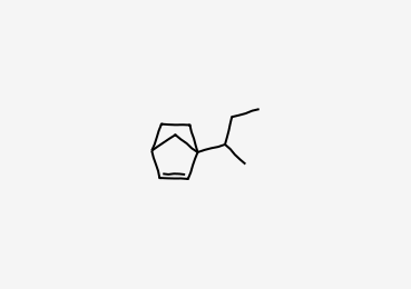 CCC(C)C12C=CC(CC1)C2